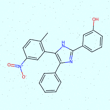 Cc1ccc([N+](=O)[O-])cc1-c1[nH]c(-c2cccc(O)c2)nc1-c1ccccc1